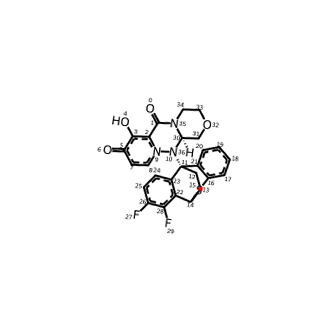 O=C1c2c(O)c(=O)ccn2N([C@@]23CCC(Sc4ccccc42)c2c3ccc(F)c2F)[C@@H]2COCCN12